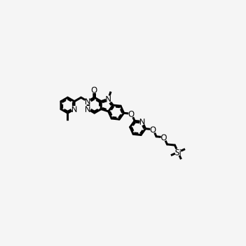 Cc1cccc(Cn2ncc3c4ccc(Oc5cccc(OCOCC[Si](C)(C)C)n5)cc4n(C)c3c2=O)n1